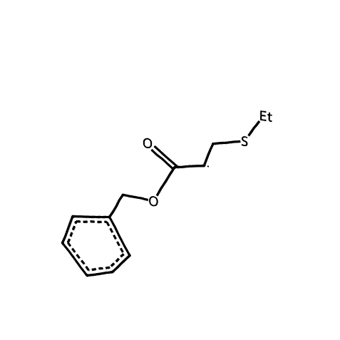 [CH2]CSC[CH]C(=O)OCc1ccccc1